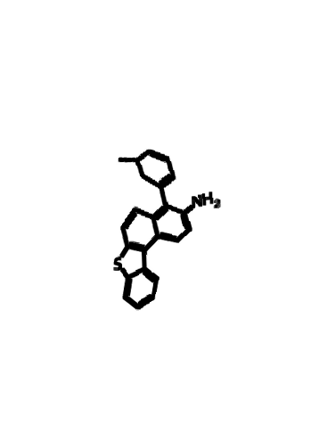 CC1C=CC=C(c2c(N)ccc3c2ccc2sc4ccccc4c23)C1